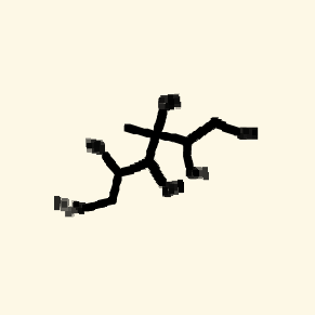 CC(O)(C(O)CO)C(O)C(O)CN